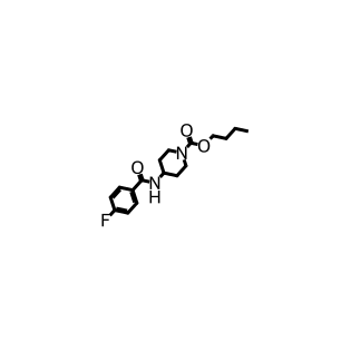 CCCCOC(=O)N1CCC(NC(=O)c2ccc(F)cc2)CC1